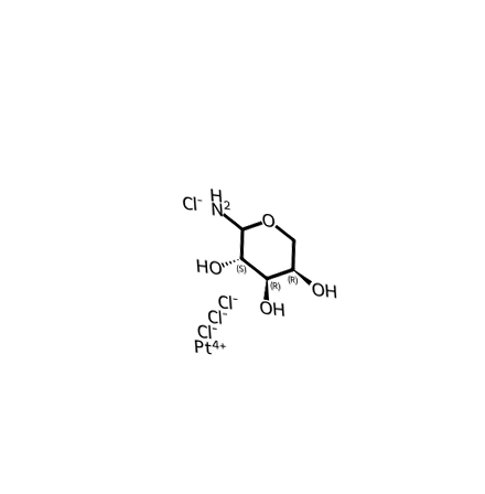 NC1OC[C@@H](O)[C@@H](O)[C@@H]1O.[Cl-].[Cl-].[Cl-].[Cl-].[Pt+4]